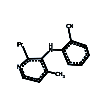 Cc1ccnc(C(C)C)c1Nc1ccccc1C#N